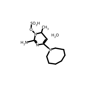 CC1C=C(N2CCCCCCC2)N=C(N)N1OS(=O)(=O)O.O